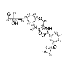 CN1C(=O)[C@H](NC(=O)c2cc(OC3CCC3)ccn2)COc2ccc(C#CC3(O)COC3)cc21